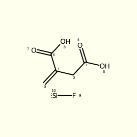 C=C(CC(=O)O)C(=O)O.F[Si]